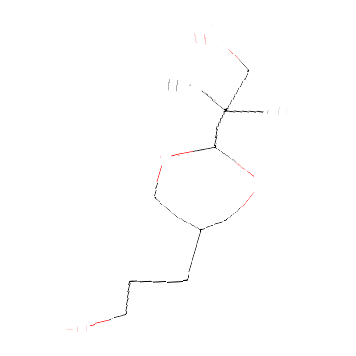 CC(C)(CO)C1OCC(CCCO)CO1